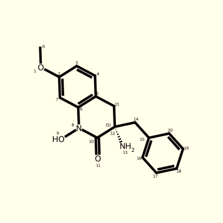 COc1ccc2c(c1)N(O)C(=O)[C@](N)(Cc1ccccc1)C2